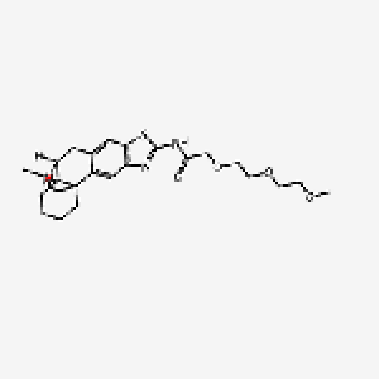 COCCOCCOCC(=O)Nc1nc2cc3c(cc2s1)C[C@@H]1[C@@H]2CCCC[C@]32CCN1C